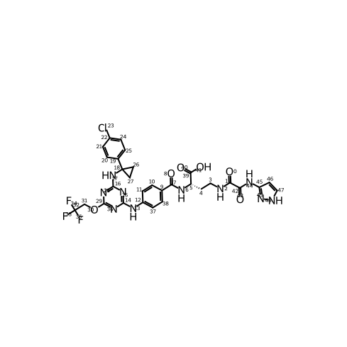 O=C(NCC[C@H](NC(=O)c1ccc(Nc2nc(NC3(c4ccc(Cl)cc4)CC3)nc(OCC(F)(F)F)n2)cc1)C(=O)O)C(=O)Nc1cc[nH]n1